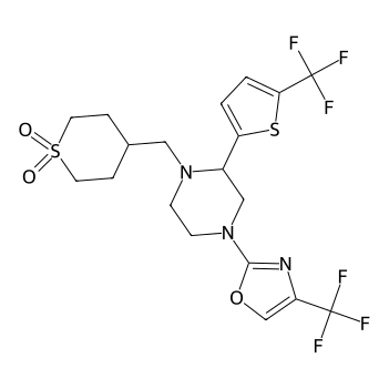 O=S1(=O)CCC(CN2CCN(c3nc(C(F)(F)F)co3)CC2c2ccc(C(F)(F)F)s2)CC1